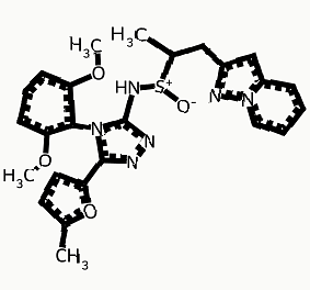 COc1cccc(OC)c1-n1c(N[S+]([O-])C(C)Cc2cc3ccccn3n2)nnc1-c1ccc(C)o1